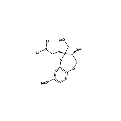 CCN(CC)CC[C@]1(COC(C)=O)Sc2cc(OC)ccc2OC[C@@H]1OC(C)=O